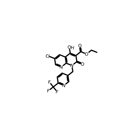 CCOC(=O)c1c(O)c2cc(Cl)cnc2n(Cc2ccc(C(F)(F)F)nc2)c1=O